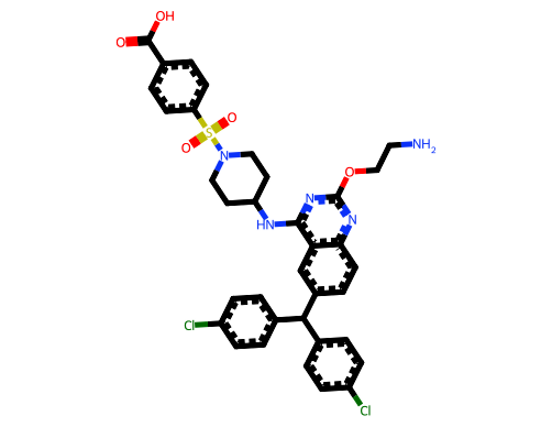 NCCOc1nc(NC2CCN(S(=O)(=O)c3ccc(C(=O)O)cc3)CC2)c2cc(C(c3ccc(Cl)cc3)c3ccc(Cl)cc3)ccc2n1